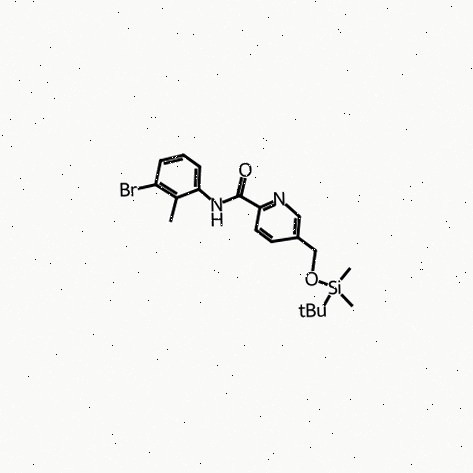 Cc1c(Br)cccc1NC(=O)c1ccc(CO[Si](C)(C)C(C)(C)C)cn1